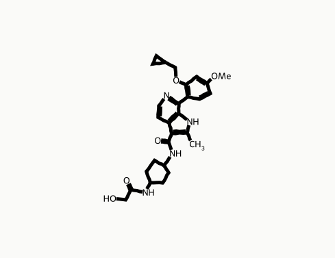 COc1ccc(-c2nccc3c(C(=O)NC4CCC(NC(=O)CO)CC4)c(C)[nH]c23)c(OCC2CC2)c1